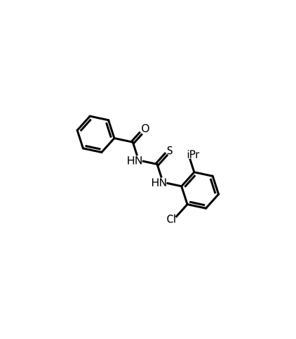 CC(C)c1cccc(Cl)c1NC(=S)NC(=O)c1ccccc1